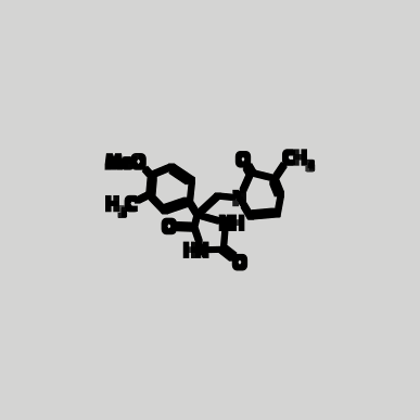 COc1ccc(C2(Cn3cccc(C)c3=O)NC(=O)NC2=O)cc1C